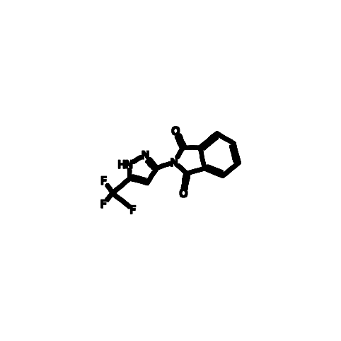 O=C1c2ccccc2C(=O)N1c1cc(C(F)(F)F)[nH]n1